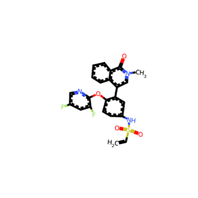 C=CS(=O)(=O)Nc1ccc(Oc2ncc(F)cc2F)c(-c2cn(C)c(=O)c3ccccc23)c1